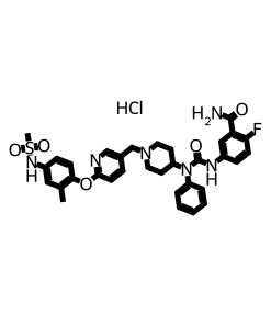 Cc1cc(NS(C)(=O)=O)ccc1Oc1ccc(CN2CCC(N(C(=O)Nc3ccc(F)c(C(N)=O)c3)c3ccccc3)CC2)cn1.Cl